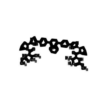 COC(=O)N[C@H](C(=O)N1C2CC2C[C@H]1c1ncc(-c2ccc(-c3ccc(-c4ccc(-c5cnc([C@@H]6CC7CC7N6C(=O)[C@@H](NC(=O)OC)C(C)C)[nH]5)cc4)c4c3C3CCC4CC3)cc2)[nH]1)C(C)C